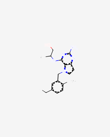 CCCCC(CO)Nc1nc(N)nc2ccn(Cc3cc(CC(=O)O)ccc3OC)c12